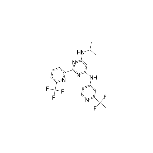 CC(C)Nc1cc(Nc2ccnc(C(C)(F)F)c2)nc(-c2cccc(C(F)(F)F)n2)n1